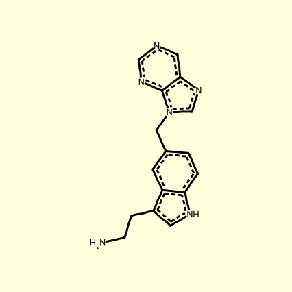 NCCc1c[nH]c2ccc(Cn3cnc4cncnc43)cc12